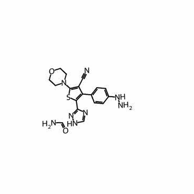 N#Cc1c(N2CCOCC2)sc(-c2nc[nH]n2)c1-c1ccc(NN)cc1.NC=O